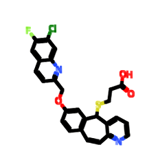 O=C(O)CCSC1c2cc(OCc3ccc4cc(F)c(Cl)cc4n3)ccc2C=Cc2ncccc21